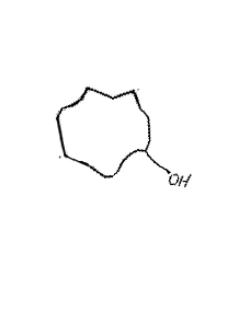 OC1C[CH]CC[CH]C1